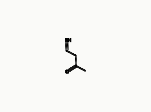 CC(=O)CC=N